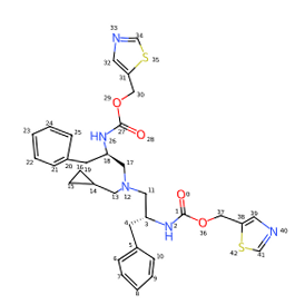 O=C(N[C@H](Cc1ccccc1)CN(CC1CC1)C[C@@H](Cc1ccccc1)NC(=O)OCc1cncs1)OCc1cncs1